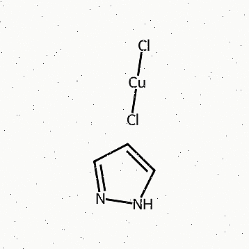 [Cl][Cu][Cl].c1cn[nH]c1